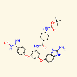 CC(C)(C)OC(=O)N[C@H]1CC[C@H](C(=O)Nc2cc(Oc3ccc(C(=N)NO)cc3)cc(Oc3ccc4[nH]c(N)nc4c3)c2)CC1